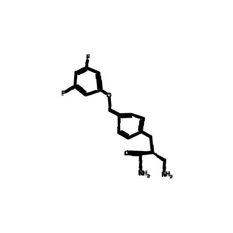 NC[C@H](Cc1ccc(COc2cc(F)cc(F)c2)cc1)C(N)=O